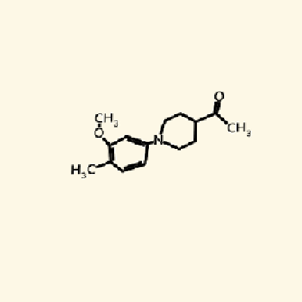 COc1cc(N2CCC(C(C)=O)CC2)ccc1C